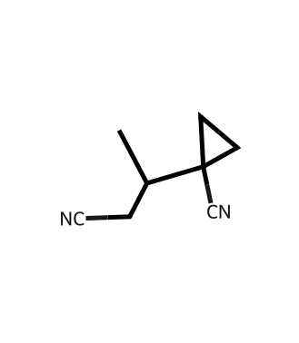 CC(CC#N)C1(C#N)CC1